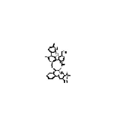 C=C1CC2C(CCc3cc(C)c4c(oc5nc(C)ccc54)c3-c3cc(C(C)(C)C)cc[n+]31)c1ccccc1-c1cc(C(C)C)c([Si](C)(C)C)c[n+]12